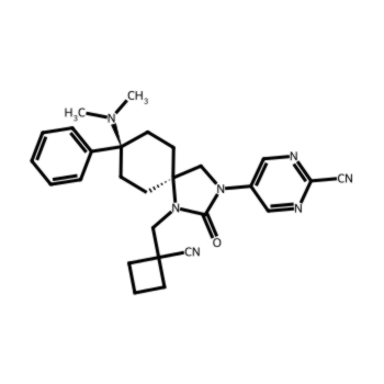 CN(C)[C@]1(c2ccccc2)CC[C@]2(CC1)CN(c1cnc(C#N)nc1)C(=O)N2CC1(C#N)CCC1